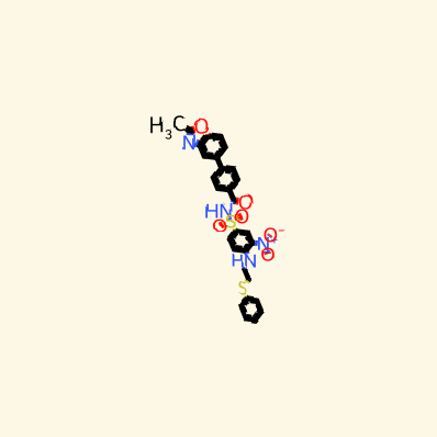 Cc1nc2cc(-c3ccc(C(=O)NS(=O)(=O)c4ccc(NCCSc5ccccc5)c([N+](=O)[O-])c4)cc3)ccc2o1